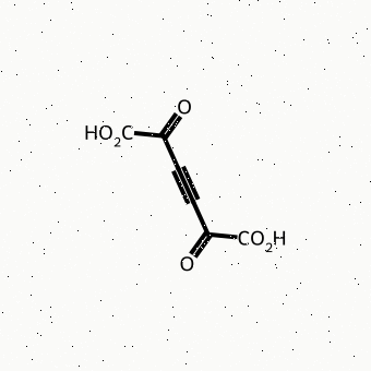 O=C(O)C(=O)C#CC(=O)C(=O)O